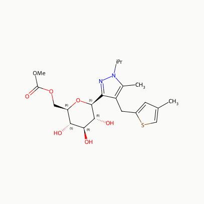 COC(=O)OC[C@H]1O[C@@H](c2nn(C(C)C)c(C)c2Cc2cc(C)cs2)[C@H](O)[C@@H](O)[C@@H]1O